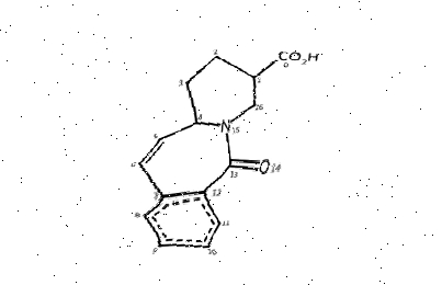 O=C(O)C1CCC2C=Cc3ccccc3C(=O)N2C1